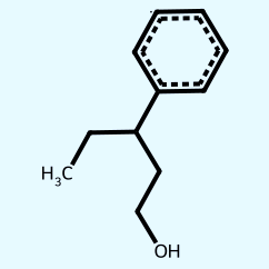 CCC(CCO)c1c[c]ccc1